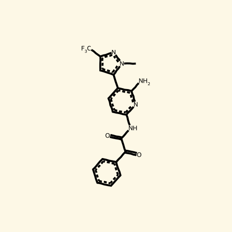 Cn1nc(C(F)(F)F)cc1-c1ccc(NC(=O)C(=O)c2ccccc2)nc1N